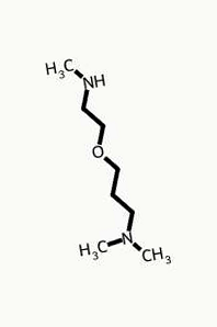 CNCCOCCCN(C)C